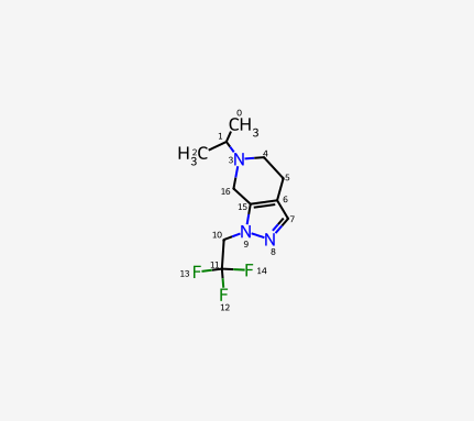 CC(C)N1CCc2cnn(CC(F)(F)F)c2C1